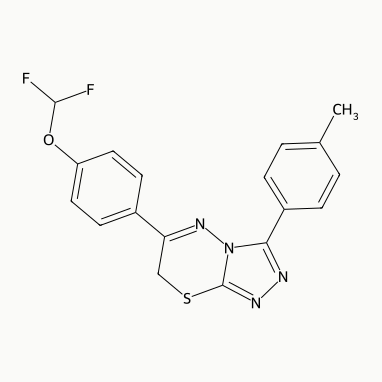 Cc1ccc(-c2nnc3n2N=C(c2ccc(OC(F)F)cc2)CS3)cc1